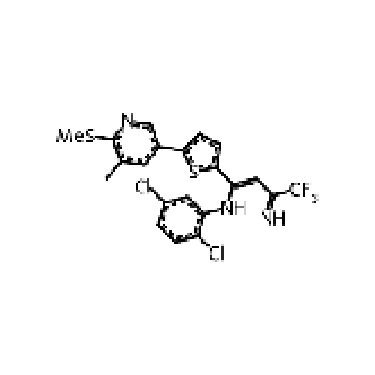 CSc1ncc(-c2ccc(/C(=C/C(=N)C(F)(F)F)Nc3cc(Cl)ccc3Cl)s2)cc1C